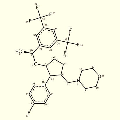 C[C@H](OC1CCC(CN2CCOCC2)C1c1ccc(F)cc1)c1cc(C(F)(F)F)cc(C(F)(F)F)c1